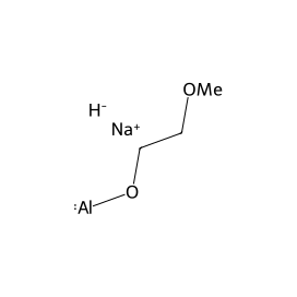 COCC[O][Al].[H-].[Na+]